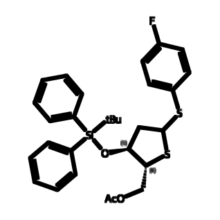 CC(=O)OC[C@H]1SC(Sc2ccc(F)cc2)C[C@@H]1O[Si](c1ccccc1)(c1ccccc1)C(C)(C)C